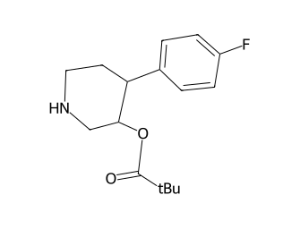 CC(C)(C)C(=O)OC1CNCCC1c1ccc(F)cc1